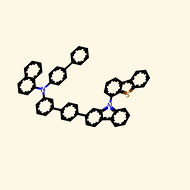 c1ccc(-c2ccc(N(c3cccc(-c4ccc(-c5ccc6c7ccccc7n(-c7cccc8c7sc7ccccc78)c6c5)cc4)c3)c3cccc4ccccc34)cc2)cc1